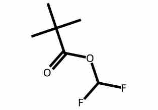 CC(C)(C)C(=O)OC(F)F